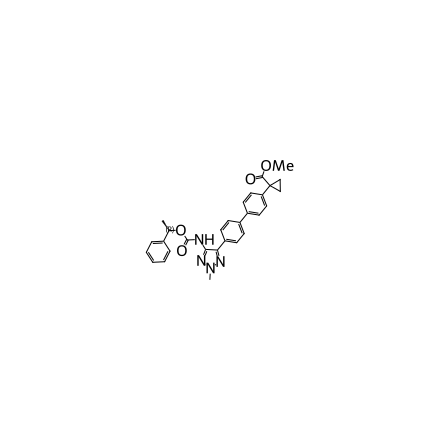 COC(=O)C1(c2ccc(-c3ccc(-c4nn(C)nc4NC(=O)O[C@H](C)c4ccccc4)cc3)cc2)CC1